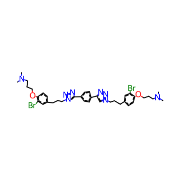 CN(C)CCCOc1ccc(CCCn2cc(-c3ccc(-c4cn(CCCc5ccc(OCCCN(C)C)c(Br)c5)nn4)cc3)nn2)cc1Br